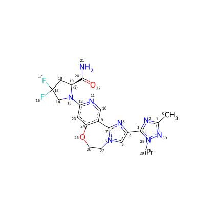 Cc1nc(-c2cn3c(n2)-c2cnc(N4CC(F)(F)C[C@H]4C(N)=O)cc2OCC3)n(C(C)C)n1